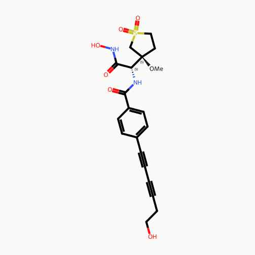 CO[C@]1([C@H](NC(=O)c2ccc(C#CC#CCCO)cc2)C(=O)NO)CCS(=O)(=O)C1